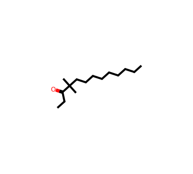 CCCCCCCCCC(C)(C)C(=O)CC